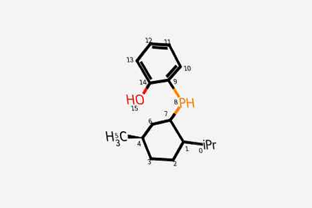 CC(C)C1CC[C@@H](C)CC1Pc1ccccc1O